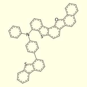 c1ccc(N(c2ccc(-c3cccc4c3sc3ccccc34)cc2)c2cccc3c2sc2ccc4c5ccc6ccccc6c5oc4c23)cc1